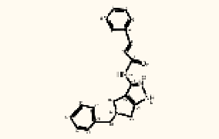 O=C(C=Cc1cccnc1)Nc1n[nH]c2c1CN(Cc1ccccc1)C2